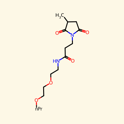 CCCOCCOCCNC(=O)CCN1C(=O)CC(C)C1=O